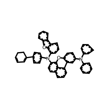 C1=CCCC(c2ccc(N(c3ccc4cccc5c4c3Oc3ccc(N(c4ccccc4)c4ccccc4)cc3-5)c3cccc4c3oc3ccccc34)cc2)=C1